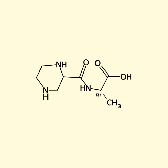 C[C@H](NC(=O)C1CNCCN1)C(=O)O